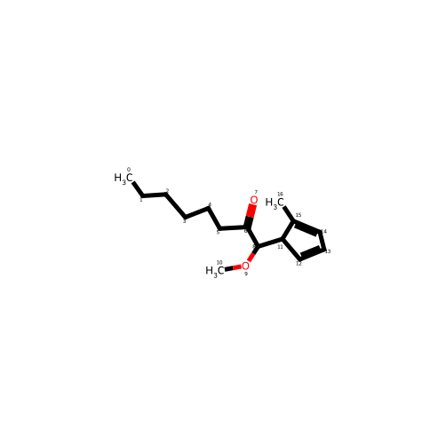 CCCCCCC(=O)C(OC)C1C=CC=C1C